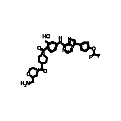 Cc1cc(Nc2nccn3c(-c4ccc(OC(F)F)cc4)cnc23)ccc1C(=O)N1CCC(C(=O)N2CCOC(CN)C2)CC1.Cl